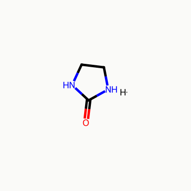 O=C1NCCN1.[H]